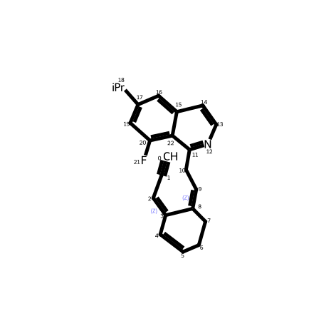 C#C/C=C1/C=CCC/C1=C/Cc1nccc2cc(C(C)C)cc(F)c12